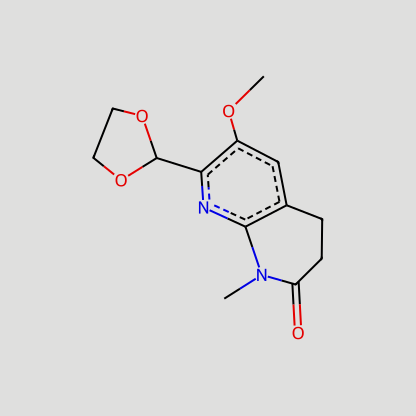 COc1cc2c(nc1C1OCCO1)N(C)C(=O)CC2